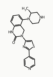 CC1CNCCN1c1cccc2c1CN(c1csc(-c3ccncc3)n1)C(=O)N2